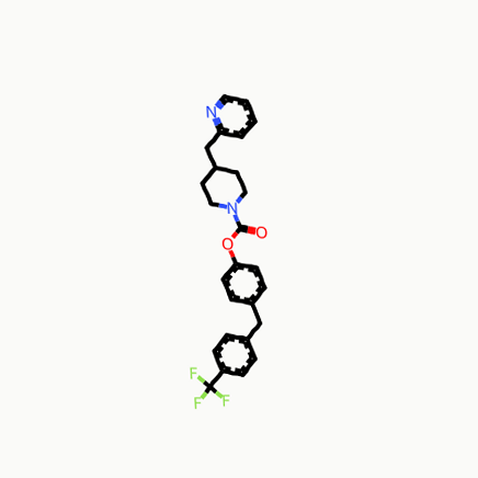 O=C(Oc1ccc(Cc2ccc(C(F)(F)F)cc2)cc1)N1CCC(Cc2ccccn2)CC1